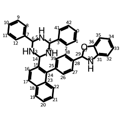 c1ccc(C2NC(c3ccccc3)NC(c3ccc4ccccc4c3-c3ccc(C4Nc5ccccc5O4)cc3)N2)cc1